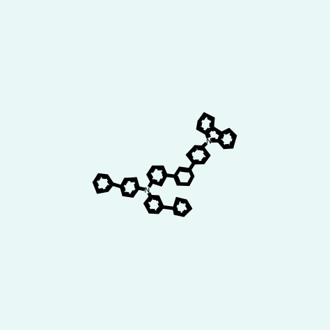 C1=C(c2cccc(N(c3ccc(-c4ccccc4)cc3)c3cccc(-c4ccccc4)c3)c2)C=C(c2ccc(-n3c4ccccc4c4ccccc43)cc2)CC1